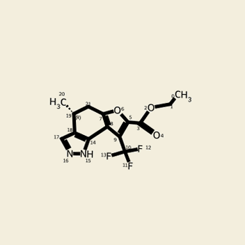 CCOC(=O)c1oc2c(c1C(F)(F)F)-c1[nH]ncc1[C@H](C)C2